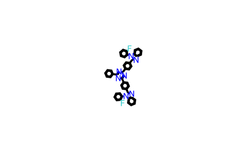 Fc1ccccc1-n1c(-c2ccc(-c3nc(-c4ccccc4)nc(-c4ccc(-c5nc6ccccc6n5-c5ccccc5F)cc4)n3)cc2)nc2ccccc21